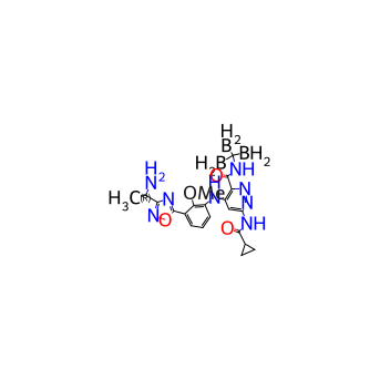 BC(B)(B)NC(=O)c1nnc(NC(=O)C2CC2)cc1Nc1cccc(-c2nc([C@@H](C)N)no2)c1OC